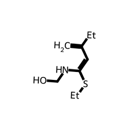 C=C(/C=C(\NCO)SCC)CC